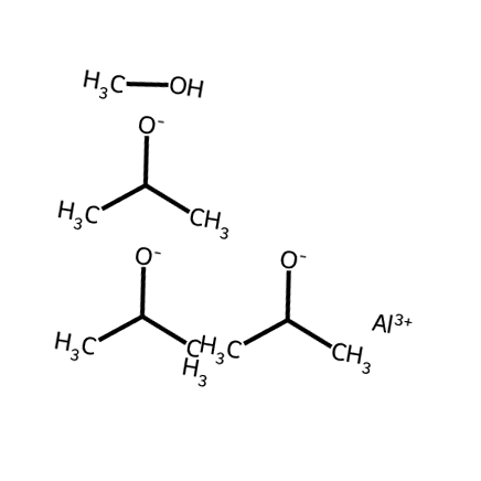 CC(C)[O-].CC(C)[O-].CC(C)[O-].CO.[Al+3]